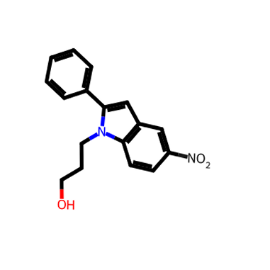 O=[N+]([O-])c1ccc2c(c1)cc(-c1ccccc1)n2CCCO